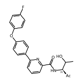 CC(=O)[C@@H](NC(=O)c1cccc(-c2ccc(Oc3ccc(F)cc3)cc2)n1)C(C)O